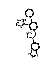 O=COC(Cc1ccc(-c2ccccc2)c(-c2nnn[nH]2)c1)c1ccc2nc[nH]c2c1